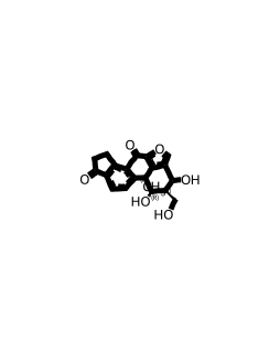 C[C@@]12c3ccc4c(c3C(=O)c3occ(c31)C(O)[C@@H](CO)[C@H]2O)CCC4=O